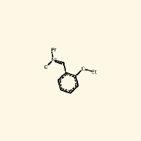 CCOc1ccccc1C=[N+]([O-])C(C)C